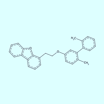 Cc1ccccc1-c1cc(OCCc2cccc3c2oc2ccccc23)ccc1C